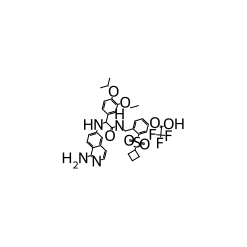 CCOc1cc(C(Nc2ccc3c(N)nccc3c2)C(=O)NCc2ccccc2S(=O)(=O)C2CCC2)ccc1OC(C)C.O=C(O)C(F)(F)F